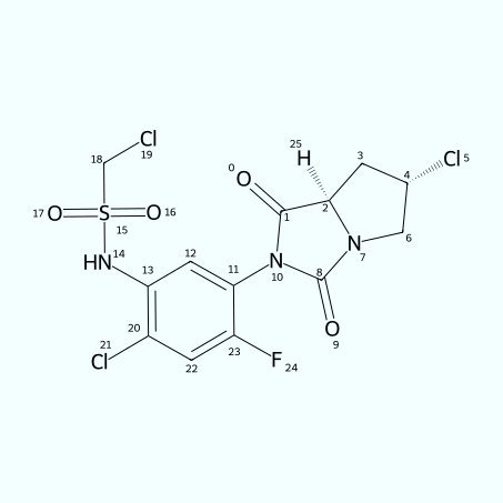 O=C1[C@H]2C[C@H](Cl)CN2C(=O)N1c1cc(NS(=O)(=O)CCl)c(Cl)cc1F